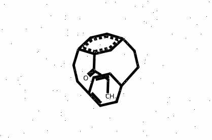 CCC(=O)c1cc2ccc1CCC1=CCC(C=C1)CC2